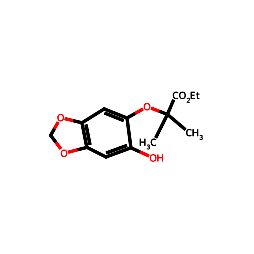 CCOC(=O)C(C)(C)Oc1cc2c(cc1O)OCO2